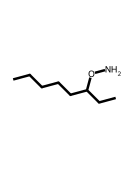 CCCCCC(CC)ON